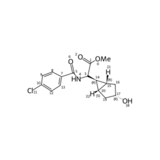 COC(=O)C(NC(=O)c1ccc(Cl)cc1)[C@H]1[C@@H]2C[C@H](O)C[C@@H]21